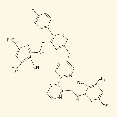 N#Cc1c(C(F)(F)F)cc(C(F)(F)F)nc1NCc1nc(Cc2ccc(-c3nccnc3CNc3nc(C(F)(F)F)cc(C(F)(F)F)c3C#N)nc2)ccc1-c1ccc(F)cc1